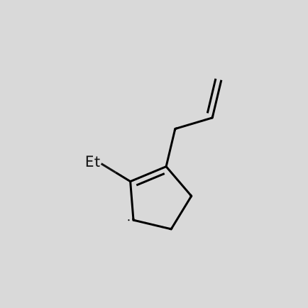 C=CCC1=C(CC)[CH]CC1